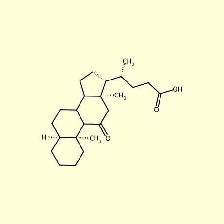 C[C@H](CCC(=O)O)[C@H]1CCC2C3CC[C@@H]4CCCC[C@]4(C)C3C(=O)C[C@@]21C